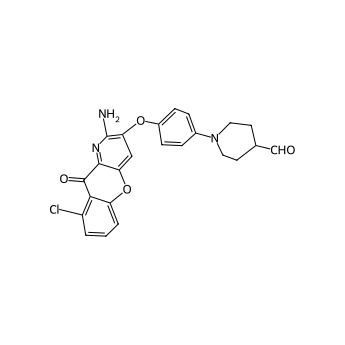 Nc1nc2c(=O)c3c(Cl)cccc3oc2cc1Oc1ccc(N2CCC(C=O)CC2)cc1